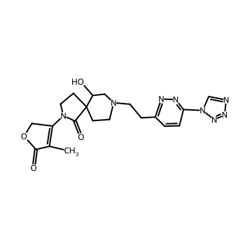 CC1=C(N2CCC3(CCN(CCc4ccc(-n5cnnn5)nn4)CC3O)C2=O)COC1=O